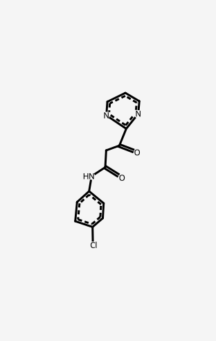 O=C(CC(=O)c1ncccn1)Nc1ccc(Cl)cc1